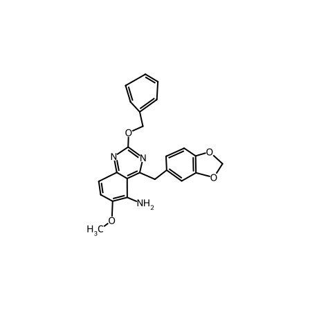 COc1ccc2nc(OCc3ccccc3)nc(Cc3ccc4c(c3)OCO4)c2c1N